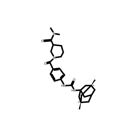 CN(C)C(=O)C1CCCN(C(=O)c2ccc(NC(=O)NC34CC5C[C@@](C)(C3)C[C@](C)(C5)C4)cc2)C1